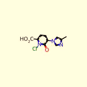 Cc1cn(-c2ccc(C(=O)O)n(Cl)c2=O)cn1